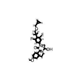 COc1ccc2c(c1)CCN(C(=O)O)[C@H]2C(=O)Nc1cc(F)c(C(C)(C)COCC2CC2)c(F)c1